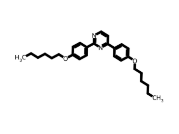 CCCCCCOc1ccc(-c2ccnc(-c3ccc(OCCCCCC)cc3)n2)cc1